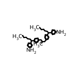 CCCCCCC(c1ccc(N)cc1)c1ccc(CC(C)Cc2ccc(C(CCCCCC)c3ccc(N)cc3)cc2)cc1